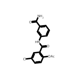 CC(=O)Oc1ccc(Cl)cc1C(=O)Nc1cccc(C(N)=O)c1